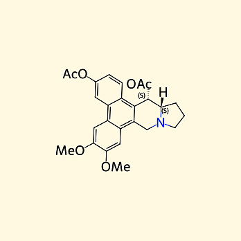 COc1cc2c3c(c4ccc(OC(C)=O)cc4c2cc1OC)[C@H](OC(C)=O)[C@@H]1CCCN1C3